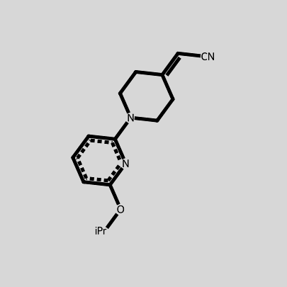 CC(C)Oc1cccc(N2CCC(=CC#N)CC2)n1